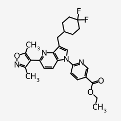 CCOC(=O)c1ccc(-n2cc(CC3CCC(F)(F)CC3)c3nc(-c4c(C)noc4C)ccc32)nc1